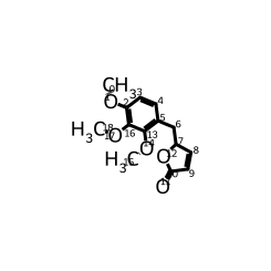 COc1ccc(CC2C=CC(=O)O2)c(OC)c1OC